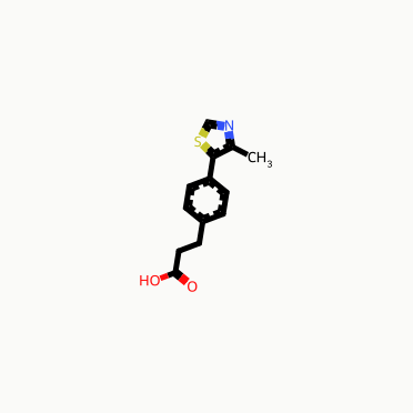 Cc1ncsc1-c1ccc(CCC(=O)O)cc1